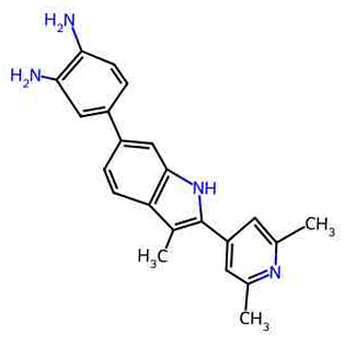 Cc1cc(-c2[nH]c3cc(-c4ccc(N)c(N)c4)ccc3c2C)cc(C)n1